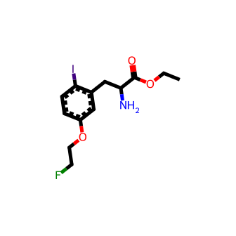 CCOC(=O)C(N)Cc1cc(OCCF)ccc1I